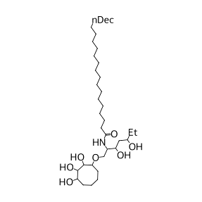 CCCCCCCCCCCCCCCCCCCCCCCCCC(=O)NC(COC1CCCCC(O)C(O)C1O)C(O)CC(O)CC